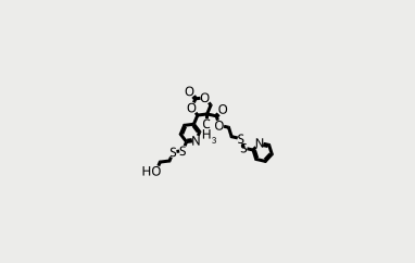 CC1(C(=O)OCCSSc2ccccn2)COC(=O)OC1c1ccc(SSCCO)nc1